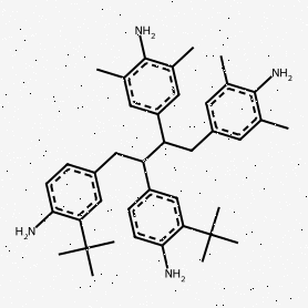 Cc1cc(CC(c2cc(C)c(N)c(C)c2)C(Cc2ccc(N)c(C(C)(C)C)c2)c2ccc(N)c(C(C)(C)C)c2)cc(C)c1N